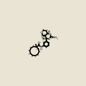 CC1(C(=O)Nc2cccc([C@@]3(CF)N=C(N)O[C@@H]4CCOC[C@@H]43)c2)CCCCCCCCC1